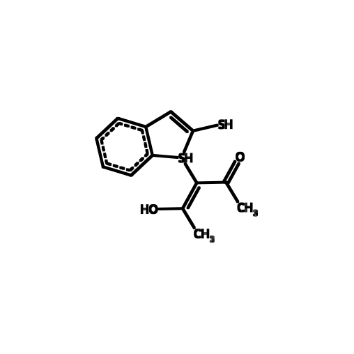 CC(=O)C(=C(C)O)[SH]1C(S)=Cc2ccccc21